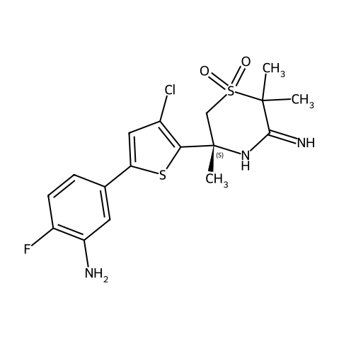 CC1(C)C(=N)N[C@](C)(c2sc(-c3ccc(F)c(N)c3)cc2Cl)CS1(=O)=O